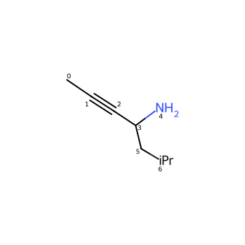 CC#CC(N)CC(C)C